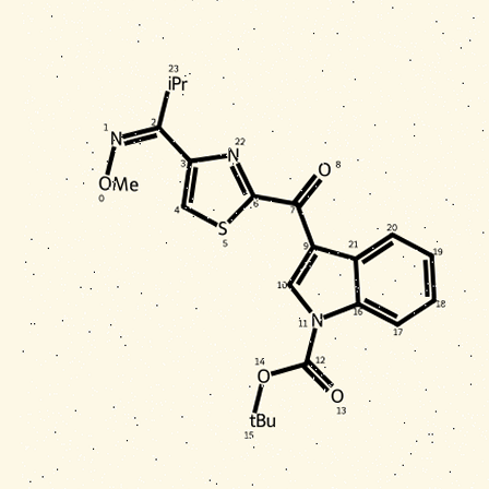 CO/N=C(\c1csc(C(=O)c2cn(C(=O)OC(C)(C)C)c3ccccc23)n1)C(C)C